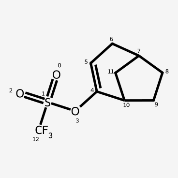 O=S(=O)(OC1=CCC2CCC1C2)C(F)(F)F